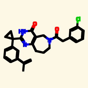 C=C(C)c1cccc(C2(c3nc4c(c(=O)[nH]3)CN(C(=O)Cc3cccc(Cl)c3)CCC4)CC2)c1